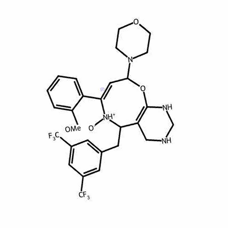 COc1ccccc1/C1=C/C(N2CCOCC2)OC2=C(CNCN2)C(Cc2cc(C(F)(F)F)cc(C(F)(F)F)c2)[NH+]1[O-]